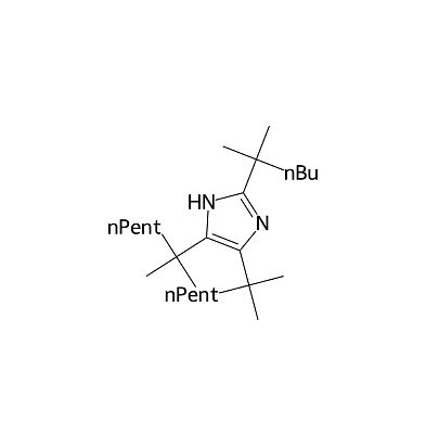 CCCCCC(C)(C)c1nc(C(C)(C)CCCC)[nH]c1C(C)(C)CCCCC